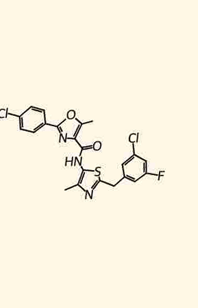 Cc1nc(Cc2cc(F)cc(Cl)c2)sc1NC(=O)c1nc(-c2ccc(Cl)cc2)oc1C